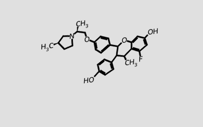 CC1c2c(F)cc(O)cc2OC(c2ccc(OC[C@H](C)N3CC[C@@H](C)C3)cc2)C1c1ccc(O)cc1